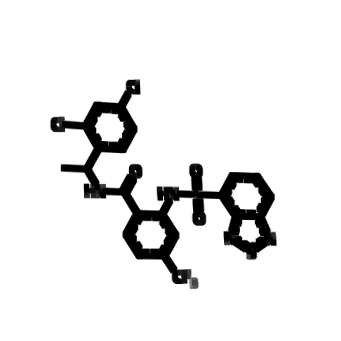 CC(NC(=O)c1ccc(C(F)(F)F)cc1NS(=O)(=O)c1cccc2nsnc12)c1ccc(Cl)cc1Cl